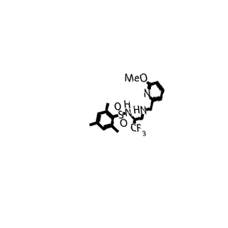 COc1cccc(CNCC(NS(=O)(=O)c2c(C)cc(C)cc2C)C(F)(F)F)n1